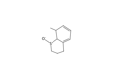 CC1C=CC=C2CCC[S+]([O-])C21